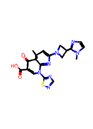 Cc1cc(N2CC(c3nccn3C)C2)nc2c1c(=O)c(C(=O)O)cn2-c1ncns1